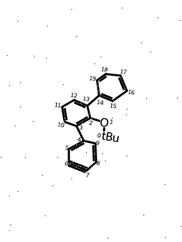 CC(C)(C)Oc1c(-c2cc#ccc2)cccc1-c1ccccc1